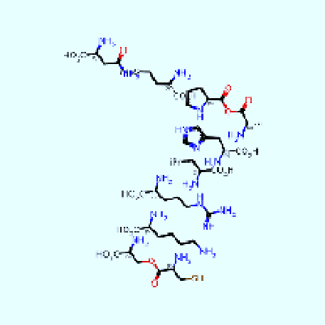 CC(C)C[C@H](N)C(=O)O.CSCC[C@H](N)C(=O)O.C[C@H](N)C(=O)OC(=O)[C@@H]1CCCN1.N=C(N)NCCC[C@H](N)C(=O)O.NC(=O)C[C@H](N)C(=O)O.NCCCC[C@H](N)C(=O)O.N[C@@H](COC(=O)[C@@H](N)CS)C(=O)O.N[C@@H](Cc1c[nH]cn1)C(=O)O